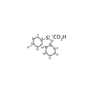 Cc1ccc(S[C@H](C(=O)O)c2ccccc2)cc1